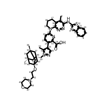 Cc1c(Nc2nc3ccccc3s2)nnc2c1CCCN2c1ccc(-c2cnn(C[C@]34C[C@]5(C)C[C@](C)(C3)C[C@@](OCCN3CCOCC3)(C5)C4)c2C)c(C(=O)O)n1